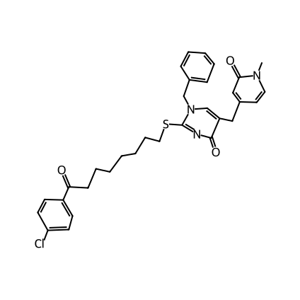 Cn1ccc(Cc2cn(Cc3ccccc3)c(SCCCCCCCC(=O)c3ccc(Cl)cc3)nc2=O)cc1=O